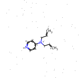 C=CCN(CC=C)c1ccncc1